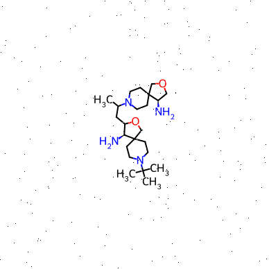 CC(CC1OCC2(CCN(C(C)(C)C)CC2)[C@H]1N)N1CCC2(CC1)COC[C@H]2N